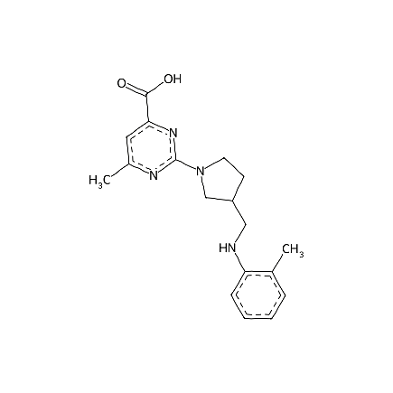 Cc1cc(C(=O)O)nc(N2CCC(CNc3ccccc3C)C2)n1